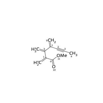 C=C(C#CC)C(=C)C(=C)C(=O)OC